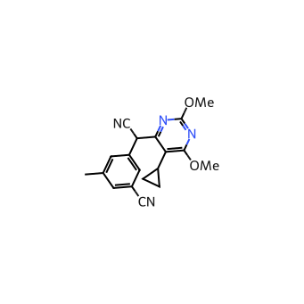 COc1nc(OC)c(C2CC2)c(C(C#N)c2cc(C)cc(C#N)c2)n1